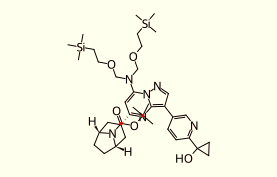 CC(C)(C)OC(=O)N1[C@@H]2CC[C@H]1C[C@@H](c1cc(N(COCC[Si](C)(C)C)COCC[Si](C)(C)C)n3ncc(-c4ccc(C5(O)CC5)nc4)c3n1)C2